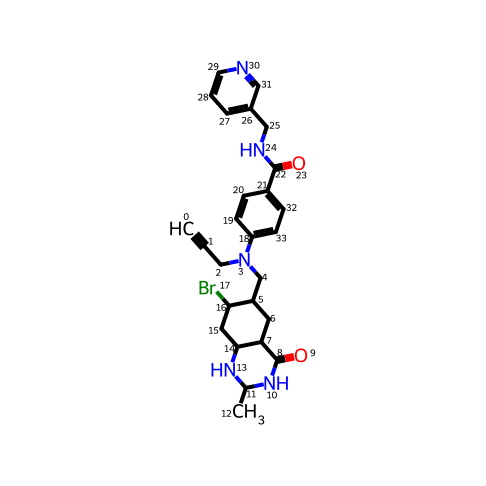 C#CCN(CC1CC2C(=O)NC(C)NC2CC1Br)c1ccc(C(=O)NCc2cccnc2)cc1